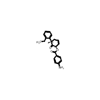 CCc1ccccc1[C@]1(I)CCC[C@@H](OC(=O)c2ccc(N)cc2)C1=O